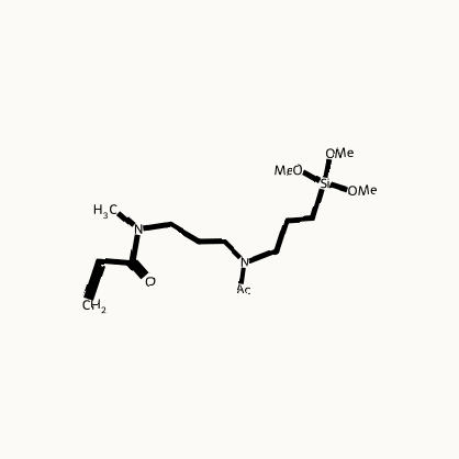 C=CC(=O)N(C)CCCN(CCC[Si](OC)(OC)OC)C(C)=O